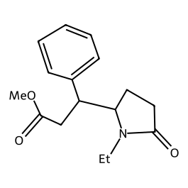 CCN1C(=O)CCC1C(CC(=O)OC)c1ccccc1